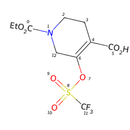 CCOC(=O)N1CCC(C(=O)O)=C(OS(=O)(=O)C(F)(F)F)C1